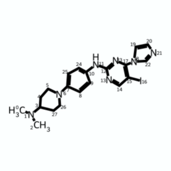 CN(C)C1CCN(c2ccc(Nc3ncc(I)c(-n4ccnc4)n3)cc2)CC1